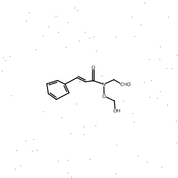 O=[C]CN(OCO)C(=O)/C=C/c1ccccc1